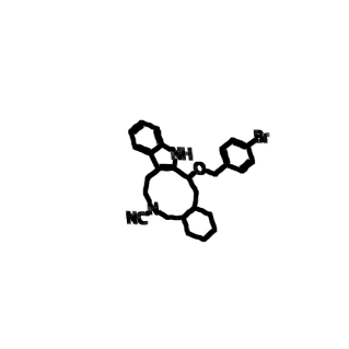 N#CN1CCc2c([nH]c3ccccc23)C(OCc2ccc(Br)cc2)CC2CCCCC2C1